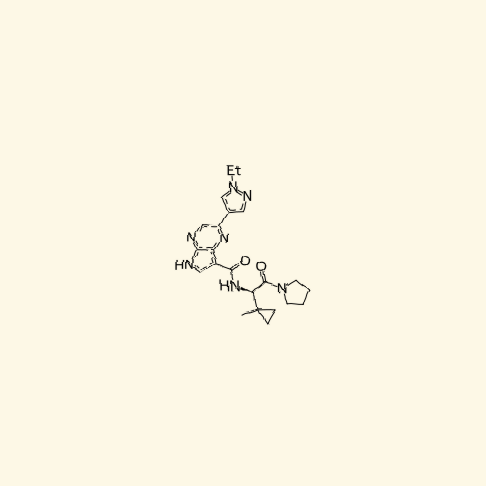 CCn1cc(-c2cnc3[nH]cc(C(=O)N[C@@H](C(=O)N4CCCC4)C4(C)CC4)c3n2)cn1